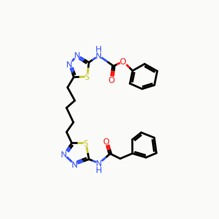 O=C(Cc1ccccc1)Nc1nnc(CCCCCc2nnc(NC(=O)Oc3ccccc3)s2)s1